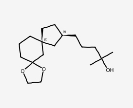 CC(C)(O)CCC[C@@H]1CC[C@@]2(CCCC3(C2)OCCO3)C1